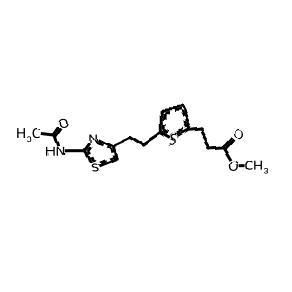 COC(=O)CCc1ccc(CCc2csc(NC(C)=O)n2)s1